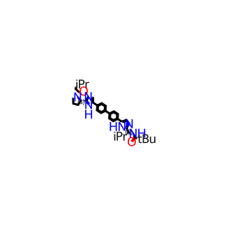 CC(C)CC(=O)N1CCC[C@H]1c1ncc(-c2ccc(-c3ccc(-c4cnc([C@@H](NC(=O)C(C)(C)C)C(C)C)[nH]4)cc3)cc2)[nH]1